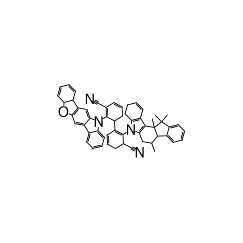 CC1Cc2c(c3c(n2C2=C(C4CC=CC(C#N)=C4n4c5ccccc5c5cc6c(cc54)C4C=CC=CC4O6)C=CCC2C#N)CCC=C3)C2(C)C1c1ccccc1C2(C)C